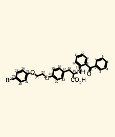 O=C(c1ccccc1)c1ccccc1NC(Cc1ccc(OCCOc2ccc(Br)cc2)cc1)C(=O)O